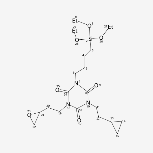 CCO[Si](CCCCn1c(=O)n(CCC2CC2)c(=O)n(CCC2CO2)c1=O)(OCC)OCC